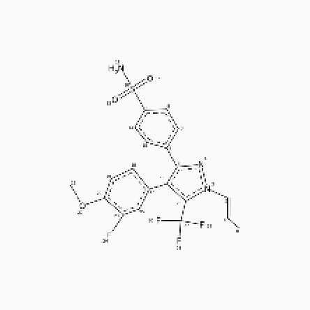 CC=Cn1nc(-c2ccc(S(N)(=O)=O)cc2)c(-c2ccc(OC)c(F)c2)c1C(F)(F)F